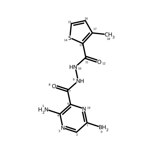 Bc1cnc(N)c(C(=O)NNC(=O)c2sccc2C)n1